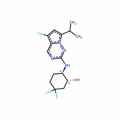 CC(C)c1cc(F)c2cnc(N[C@@H]3CCC(F)(F)C[C@H]3O)nn12